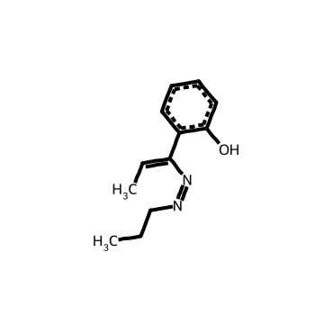 C/C=C(\N=N/CCC)c1ccccc1O